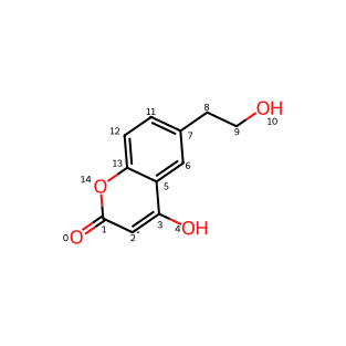 O=c1[c]c(O)c2cc(CCO)ccc2o1